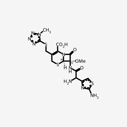 CO[C@@]1(NC(=O)C(N)c2csc(N)n2)C(=O)N2C(C(=O)O)=C(CSc3nnnn3C)CS[C@@H]21